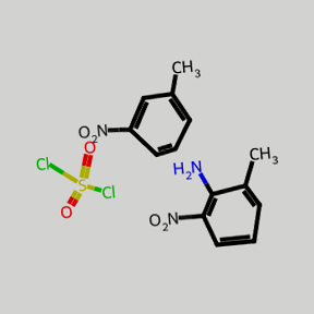 Cc1cccc([N+](=O)[O-])c1.Cc1cccc([N+](=O)[O-])c1N.O=S(=O)(Cl)Cl